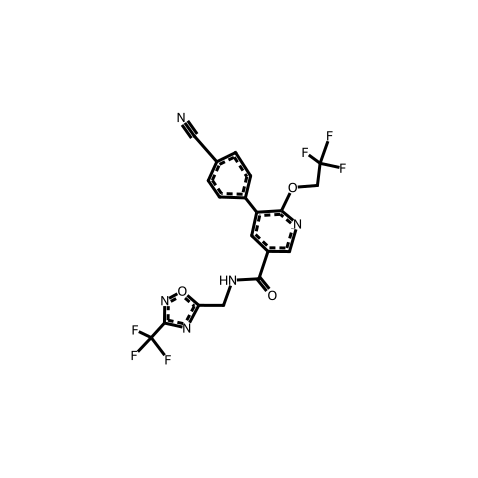 N#Cc1ccc(-c2cc(C(=O)NCc3nc(C(F)(F)F)no3)cnc2OCC(F)(F)F)cc1